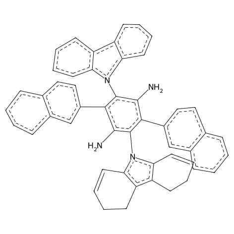 Nc1c(-c2ccc3ccccc3c2)c(-n2c3ccccc3c3ccccc32)c(N)c(-c2ccc3ccccc3c2)c1-n1c2c(c3c1C=CCC3)CCC=C2